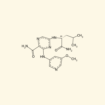 COc1cncc(Nc2nc(N[C@H](CC(C)C)C(N)=O)cnc2C(N)=O)c1